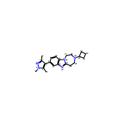 Cc1nn(C)c(C)c1-c1ccc2c(c1)nc1n2CCN(C2CCC2)CC1